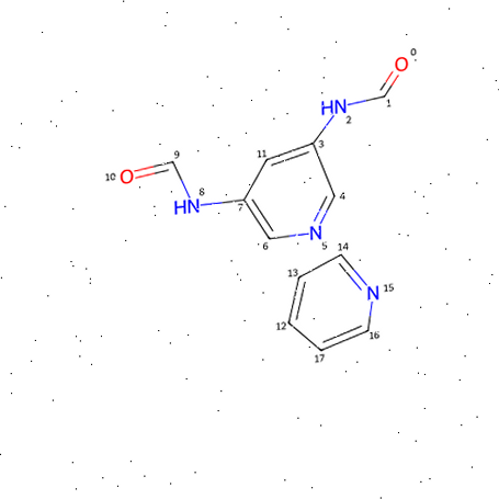 O=CNc1cncc(NC=O)c1.c1ccncc1